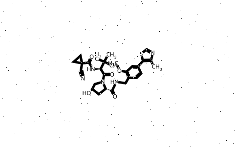 COc1cc(-c2scnc2C)ccc1CNC(=O)[C@@H]1C[C@@H](O)CN1C(=O)[C@@H](NC(=O)C1(C#N)CC1)C(C)(C)C